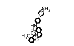 Cc1ccccc1C(C)n1c(=O)ccc2ccc(Nc3ccc(N4CCN(C)CC4)cc3)cc21